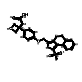 CS(=O)(=O)c1sc(COc2ccc(C3(CC(=O)O)COC3)cc2)c2c1-c1ccccc1CC2